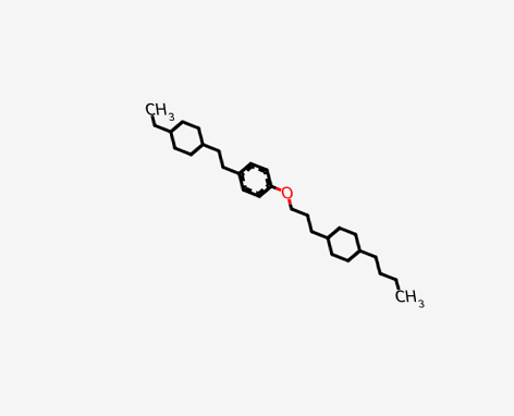 CCCCC1CCC(CCCOc2ccc(CCC3CCC(CC)CC3)cc2)CC1